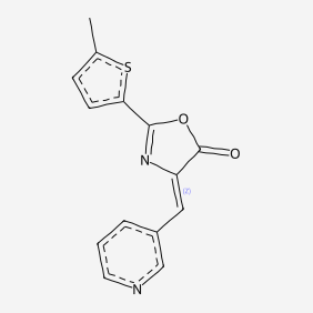 Cc1ccc(C2=N/C(=C\c3cccnc3)C(=O)O2)s1